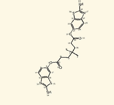 CC(C)(CCC(=O)Oc1ccc2nc(S)sc2c1)CCC(=O)Oc1ccc2nc(S)sc2c1